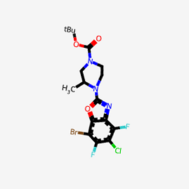 CC1CN(C(=O)OC(C)(C)C)CCN1c1nc2c(F)c(Cl)c(F)c(Br)c2o1